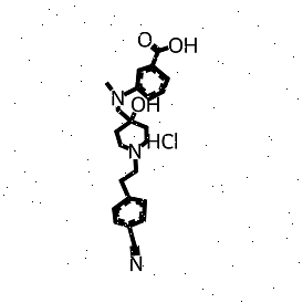 CN(CC1(O)CCN(CCc2ccc(C#N)cc2)CC1)c1cccc(C(=O)O)c1.Cl